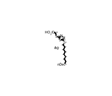 CCCCCCCCCCCCCCCCCCSc1nnc(SCC(=O)O)s1.[Ag]